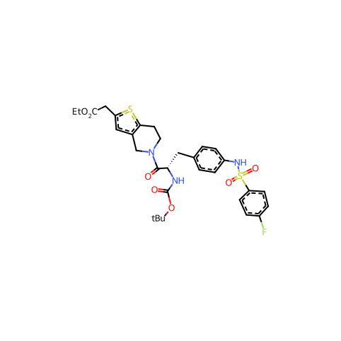 CCOC(=O)Cc1cc2c(s1)CCN(C(=O)[C@H](Cc1ccc(NS(=O)(=O)c3ccc(F)cc3)cc1)NC(=O)OC(C)(C)C)C2